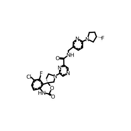 O=C1Nc2ccc(Cl)c(F)c2[C@]2(CCN(c3cncc(C(=O)NCc4ccc(N5CC[C@H](F)C5)nc4)n3)C2)O1